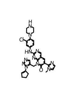 Cn1ccnc1-c1cc2cnc(Nc3ccc(N4CCNCC4)c(Cl)c3)nc2n(Cc2cnnn2C2=CCCC2)c1=O